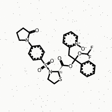 O=C(OC(Cc1cccc[n+]1[O-])(OC(F)F)c1ccccc1)[C@@H]1SCCN1S(=O)(=O)c1ccc(N2CCCC2=O)cc1